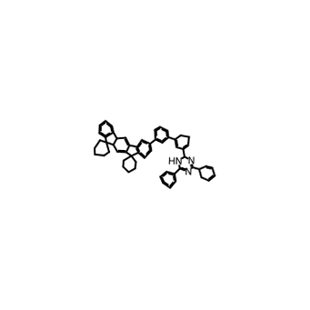 C1=CCC(C2=NC(C3=CCCC(c4cccc(-c5ccc6c(c5)C5=CC7c8ccccc8C8(CCCCC8)C7C=C5C65CCCCC5)c4)=C3)NC(c3ccccc3)=N2)C=C1